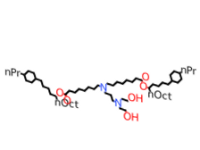 CCCCCCCCC(CCCCC1CCC(CCC)CC1)OC(=O)CCCCCCCN(CCCCCCCC(=O)OC(CCCCCCCC)CCCCC1CCC(CCC)CC1)CCCN(CCO)CCO